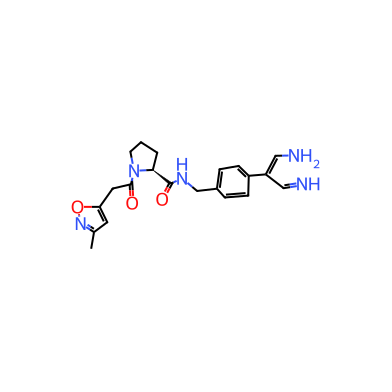 Cc1cc(CC(=O)N2CCC[C@H]2C(=O)NCc2ccc(/C(C=N)=C/N)cc2)on1